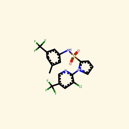 Cc1cc(NS(=O)(=O)c2cccn2-c2ncc(C(F)(F)F)cc2Cl)cc(C(F)(F)F)c1